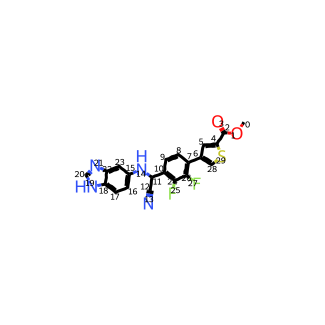 COC(=O)c1cc(-c2ccc(C(C#N)Nc3ccc4[nH]cnc4c3)c(F)c2F)cs1